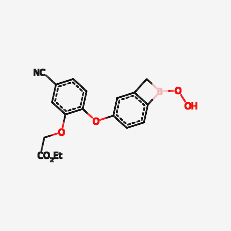 CCOC(=O)COc1cc(C#N)ccc1Oc1ccc2c(c1)CB2OO